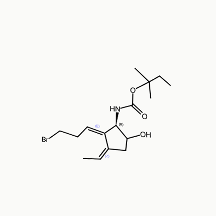 C/C=C1/CC(O)[C@H](NC(=O)OC(C)(C)CC)/C1=C/CCBr